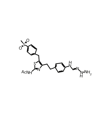 CC(=O)Nc1nc(CCc2ccc(NC=NNN)cc2)c(Cc2ccc(S(C)(=O)=O)cc2)s1